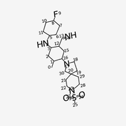 CC1CC(NC2CCC(F)CC2)C(C=N)CC1N1CCC2(CCN(S(C)(=O)=O)CC2)C1